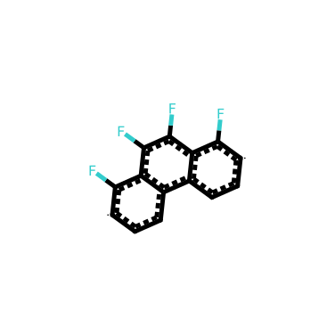 Fc1[c]ccc2c1c(F)c(F)c1c(F)[c]ccc12